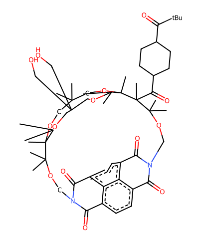 CC1(C)COC2(C)C(C)(C)OCN3C(=O)c4ccc5c6c(ccc(c46)C3=O)C(=O)N(COC(C)(C)C(C)(C(=O)C3CCC(C(=O)C(C)(C)C)CC3)C(C)(OC1)C(C)(C)OCC(CO)(CO)COC2(C)C)C5=O